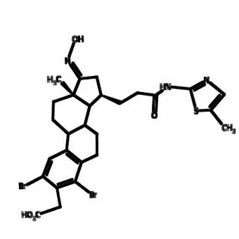 Cc1cnc(NC(=O)CC[C@@H]2C/C(=N\O)[C@@]3(C)CCC4c5cc(Br)c(CC(=O)O)c(Br)c5CCC4C23)s1